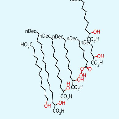 CCCCCCCCCCCCC(O)C(=O)O.CCCCCCCCCCCCCCCC(=O)OO.CCCCCCCCCCCCCCCCC(O)C(=O)O.CCCCCCCCCCCCCCCCCCC(O)C(=O)O.CCCCCCCCCCCCCCCCCCCCC(O)C(=O)O.CCCCCCCCCCCCCCCCCCCCCCCCC(O)C(=O)O.O=C(O)CCCCCCCCCCCO